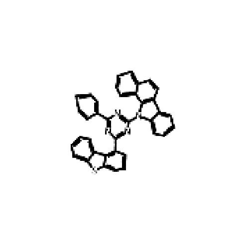 c1ccc(-c2nc(-c3cccc4sc5ccccc5c34)nc(-n3c4ccccc4c4ccc5ccccc5c43)n2)cc1